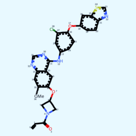 C=CC(=O)N1CC(Oc2cc3c(Nc4ccc(Oc5ccc6ncsc6c5)c(Cl)c4)ncnc3cc2OC)C1